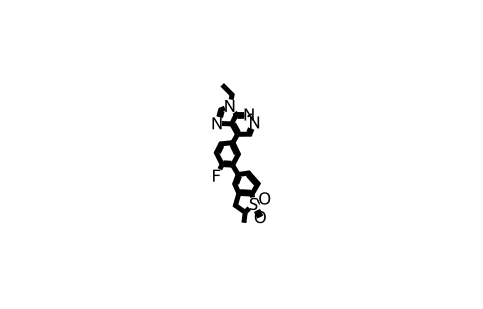 CCn1cnc2c(-c3ccc(F)c(-c4ccc5c(c4)CC(C)S5(=O)=O)c3)cnnc21